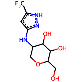 OCC1OCC(Nc2cc(C(F)(F)F)[nH]n2)C(O)C1O